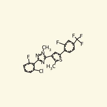 Cc1sc(-c2ccc(C(F)(F)F)cc2F)cc1-c1nc(-c2c(F)cccc2Cl)nn1C